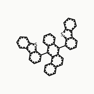 c1ccc2c(c1)ccc1c(-c3cccc4c3sc3ccccc34)c3ccccc3c(-c3cccc4c3sc3ccccc34)c12